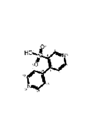 O=S(=O)(O)c1cnccc1-c1ccncc1